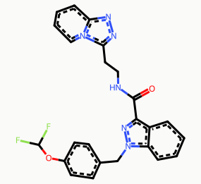 O=C(NCCc1nnc2ccccn12)c1nn(Cc2ccc(OC(F)F)cc2)c2ccccc12